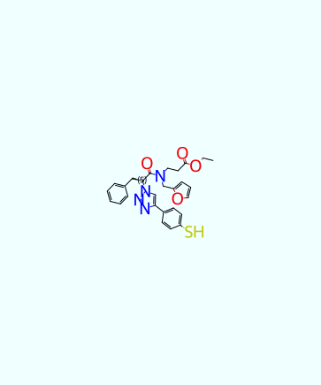 CCOC(=O)CCN(Cc1ccco1)C(=O)[C@H](Cc1ccccc1)n1cc(-c2ccc(S)cc2)nn1